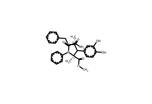 COC(=O)[C@](C)(C(C(=O)OCc1ccccc1)c1ccc(O)c(O)c1)N(C(=O)[C@H](C)N)c1ccccc1